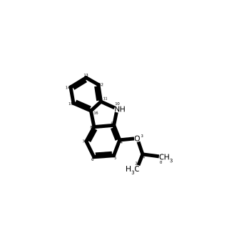 CC(C)Oc1cccc2c1[nH]c1ccccc12